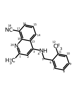 Cc1cc(NCc2ccccc2C(F)(F)F)c2cccc(C#N)c2n1